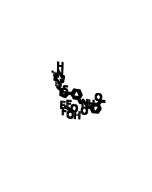 CC(=O)c1cccc(C(=O)NCc2cccc(-c3ccc(CN4CCN[C@@H](C)C4)s3)c2)c1.O=C(O)C(F)(F)F